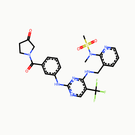 CN(c1ncccc1CNc1nc(Nc2cccc(C(=O)N3CCC(=O)C3)c2)ncc1C(F)(F)F)S(C)(=O)=O